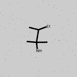 CCC(C)C(C)(C)[NH]